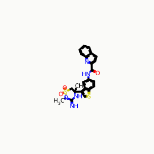 CN1C(=N)NC(C)(c2csc3ccc(NC(=O)c4ccc5ccccc5n4)cc23)CS1(=O)=O